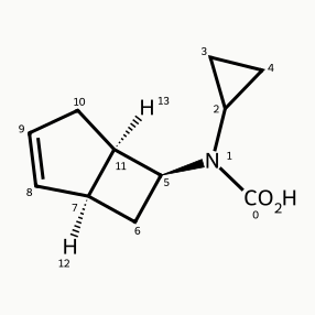 O=C(O)N(C1CC1)[C@H]1C[C@H]2C=CC[C@H]21